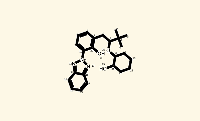 CC(C)(C)C(Cc1cccc(-n2nc3ccccc3n2)c1O)OC1CCCCC1O